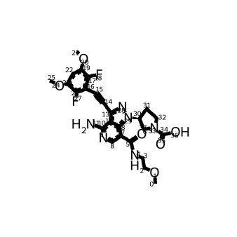 COCCNC(=O)c1cnc(N)c2c(C#Cc3c(F)c(OC)cc(OC)c3F)nn([C@H]3CCN(C(=O)O)C3)c12